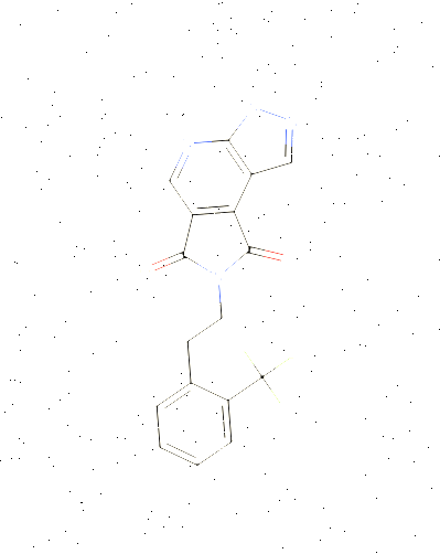 O=C1c2cnc3[nH]ncc3c2C(=O)N1CCc1ccccc1C(F)(F)F